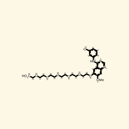 COc1cc2ncnc(Nc3cccc(Cl)c3)c2cc1OCCOCCOCCOCCOCCOCC(=O)O